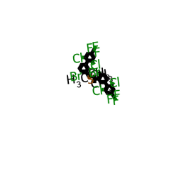 CC(C)(SC(C)(C)c1cc(-c2c(Cl)cc(C(F)(F)F)cc2Cl)ccc1Br)c1cc(-c2c(Cl)cc(C(F)(F)F)cc2Cl)ccc1Br